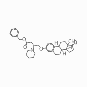 C[C@]12CC[C@@H]3c4ccc(OCC(CC(=O)OCc5ccccc5)N5CCCCC5)cc4CC[C@H]3[C@@H]1CCC2=O